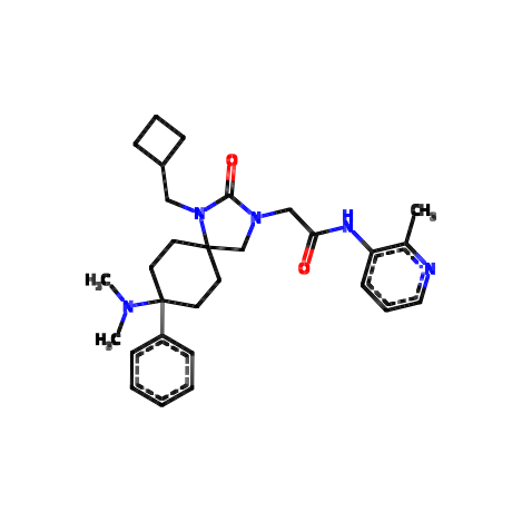 Cc1ncccc1NC(=O)CN1CC2(CCC(c3ccccc3)(N(C)C)CC2)N(CC2CCC2)C1=O